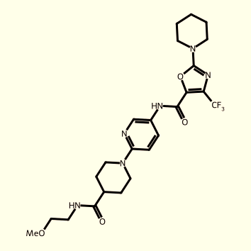 COCCNC(=O)C1CCN(c2ccc(NC(=O)c3oc(N4CCCCC4)nc3C(F)(F)F)cn2)CC1